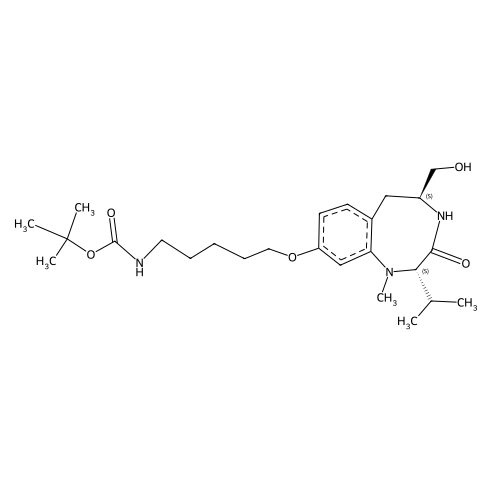 CC(C)[C@H]1C(=O)N[C@H](CO)Cc2ccc(OCCCCCNC(=O)OC(C)(C)C)cc2N1C